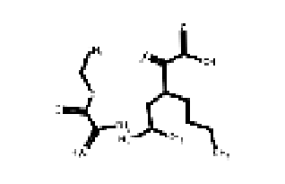 C=C(C(=O)O)C(CCCC)CC(C)C.C=C(C)C(=O)OCC